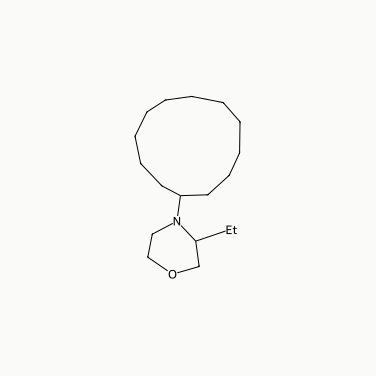 CCC1COCCN1C1CCCCCCCCCCC1